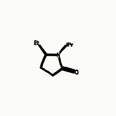 CCC1CCC(=O)N1C(C)C